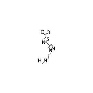 COC(=O)c1cnc(-c2cnn(CCCN)c2)s1